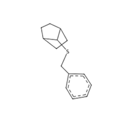 c1ccc(CSC2C3CCC2CC3)cc1